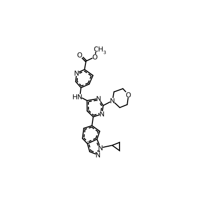 COC(=O)c1ccc(Nc2cc(-c3ccc4cnn(C5CC5)c4c3)nc(N3CCOCC3)n2)cn1